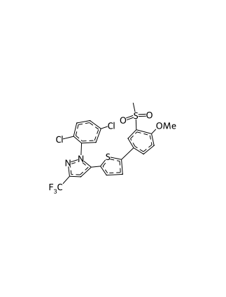 COc1ccc(-c2ccc(-c3cc(C(F)(F)F)nn3-c3cc(Cl)ccc3Cl)s2)cc1S(C)(=O)=O